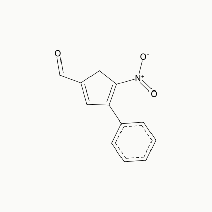 O=CC1=CC(c2ccccc2)=C([N+](=O)[O-])C1